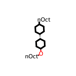 CCCCCCCCO[C@H]1CC[C@H](C2CCC(CCCCCCCC)CC2)CC1